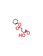 O=PC(O)CCC(=O)OC1=CCCCC1